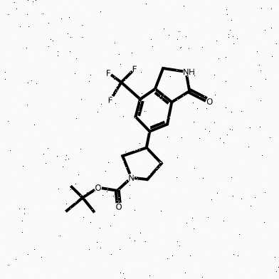 CC(C)(C)OC(=O)N1CCC(c2cc3c(c(C(F)(F)F)c2)CNC3=O)C1